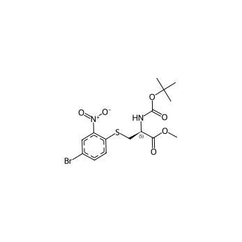 COC(=O)[C@@H](CSc1ccc(Br)cc1[N+](=O)[O-])NC(=O)OC(C)(C)C